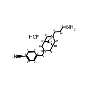 Cl.N#Cc1ccc(CN2CC3CN(CCCN)CC(C2)O3)cc1